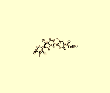 C[C@@H]1CN(C(=O)OC(C)(C)C)[C@@H](C)CN1c1ccc2c(c1)CN(C1CCC(=O)NC1=O)C2=O